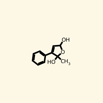 CC1(O)OC(O)C=C1c1ccccc1